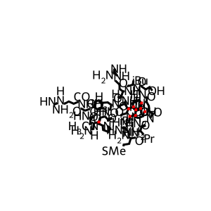 CCC(C)C(NC(=O)C(CO)NC(=O)C(CCC(N)=O)NC(=O)C(CCCNC(=N)N)NC(=O)C(CC(C)C)NC(=O)C(CO)NC(=O)C(CC(C)C)NC(=O)C(N)CCSC)C(=O)NC(CCCNC(=N)N)C(=O)NC(Cc1ccccc1)C(=O)NC(Cc1ccccc1)C(=O)NC(CCCCN)C(=O)N1CCCC1C(=O)NC(C)C(=O)NC(C(=O)NC(CCCNC(=N)N)C(=O)O)C(C)O